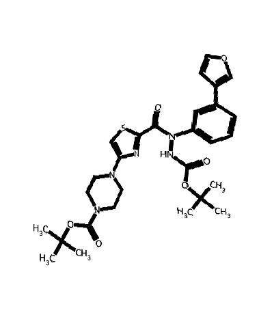 CC(C)(C)OC(=O)NN(C(=O)c1nc(N2CCN(C(=O)OC(C)(C)C)CC2)cs1)c1cccc(-c2ccoc2)c1